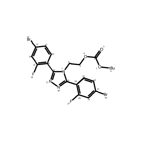 CC(C)(C)OC(=O)OCCn1c(-c2ccc(Br)cc2F)nnc1-c1ccc(Br)cc1F